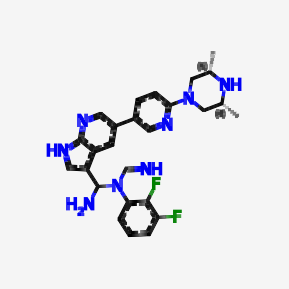 C[C@@H]1CN(c2ccc(-c3cnc4[nH]cc(C(N)N(C=N)c5cccc(F)c5F)c4c3)cn2)C[C@H](C)N1